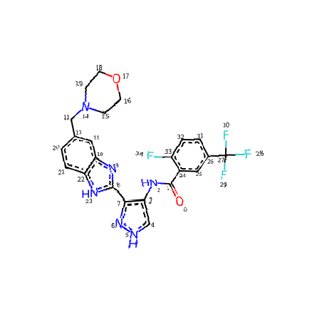 O=C(Nc1c[nH]nc1-c1nc2cc(CN3CCOCC3)ccc2[nH]1)c1cc(C(F)(F)F)ccc1F